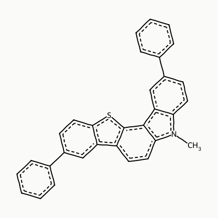 Cn1c2ccc(-c3ccccc3)cc2c2c3sc4ccc(-c5ccccc5)cc4c3ccc21